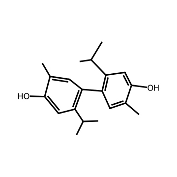 Cc1cc(-c2cc(C)c(O)cc2C(C)C)c(C(C)C)cc1O